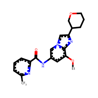 CCOc1cc(NC(=O)c2cccc(C(F)(F)F)n2)cn2cc(C3CCCOC3)nc12